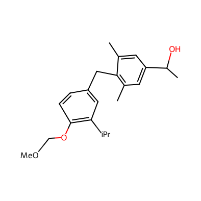 COCOc1ccc(Cc2c(C)cc(C(C)O)cc2C)cc1C(C)C